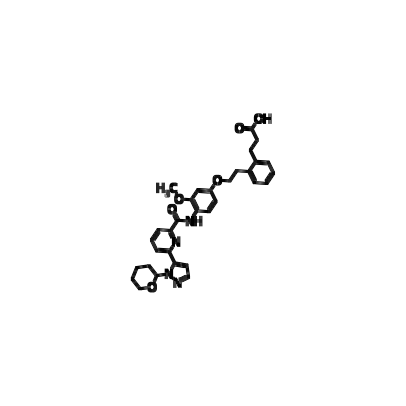 COc1cc(OCCc2ccccc2CCC(=O)O)ccc1NC(=O)c1cccc(-c2ccnn2C2CCCCO2)n1